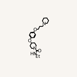 CCNC(=O)N1CCC(Oc2ccc(OCCCN3CCCCC3)cc2)CC1